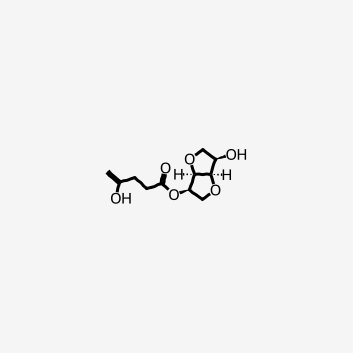 C=C(O)CCC(=O)O[C@@H]1CO[C@H]2[C@@H]1OC[C@H]2O